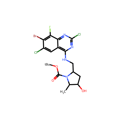 CC1C(O)CC(CNc2nc(Cl)nc3c(F)c(Br)c(Cl)cc23)N1C(=O)OC(C)(C)C